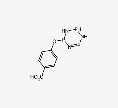 O=C(O)c1ccc(Op2np[nH][pH][nH]2)cc1